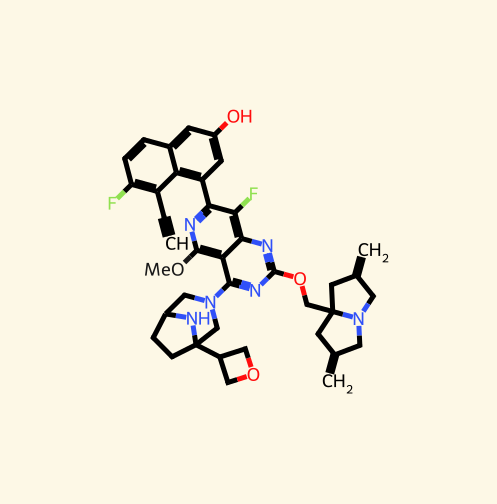 C#Cc1c(F)ccc2cc(O)cc(-c3nc(OC)c4c(N5CC6CCC(C7COC7)(C5)N6)nc(OCC56CC(=C)CN5CC(=C)C6)nc4c3F)c12